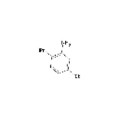 CCc1ccc(C(C)C)c(N)c1